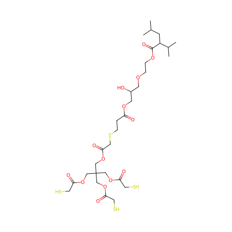 CC(C)CC(C(=O)OCCOCC(O)COC(=O)CCSCC(=O)OCC(COC(=O)CS)(COC(=O)CS)COC(=O)CS)C(C)C